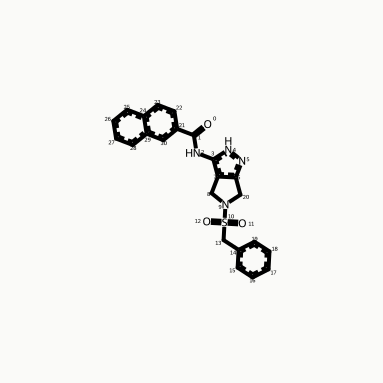 O=C(Nc1[nH]nc2c1CN(S(=O)(=O)Cc1ccccc1)C2)c1ccc2ccccc2c1